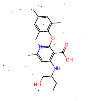 CCC(CO)Nc1cc(C)nc(Oc2c(C)cc(C)cc2C)c1C(=O)O